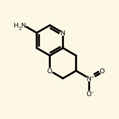 Nc1cnc2c(c1)OCC([N+](=O)[O-])C2